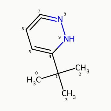 CC(C)(C)C1=CC=C=NN1